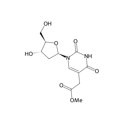 COC(=O)Cc1cn([C@H]2C[C@H](O)[C@@H](CO)O2)c(=O)[nH]c1=O